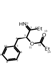 CCC(=N)[C@H](Cc1ccccc1)OC(=O)CC